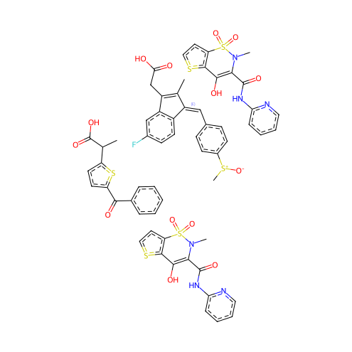 CC(C(=O)O)c1ccc(C(=O)c2ccccc2)s1.CC1=C(CC(=O)O)c2cc(F)ccc2/C1=C\c1ccc([S+](C)[O-])cc1.CN1C(C(=O)Nc2ccccn2)=C(O)c2sccc2S1(=O)=O.CN1C(C(=O)Nc2ccccn2)=C(O)c2sccc2S1(=O)=O